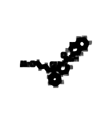 COCCCC[C@@](O)(c1ccccc1)[C@@H]1CCCN(C(=O)N[C@H](CN)CC2CCCCC2)C1